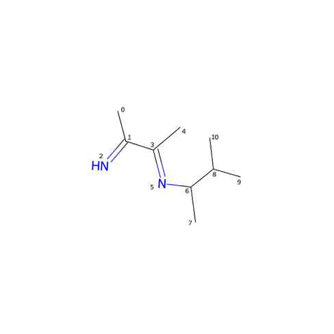 CC(=N)/C(C)=N/C(C)C(C)C